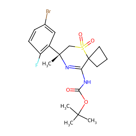 CC(C)(C)OC(=O)NC1=N[C@](C)(c2cc(Br)ccc2F)CS(=O)(=O)C12CCC2